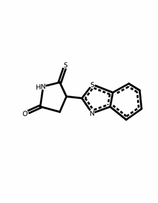 O=C1CC(c2nc3ccccc3s2)C(=S)N1